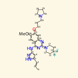 CC=Cc1cc(Nc2nc(N3CCC(F)(F)CC3)nc3cc(OCCCN4CCCC4)c(OC)cc23)n[nH]1